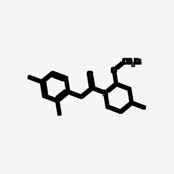 CCOC(=O)OC1CC(C)CCN1C(=O)Cc1ccc(C)cc1C